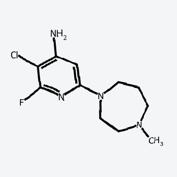 CN1CCCN(c2cc(N)c(Cl)c(F)n2)CC1